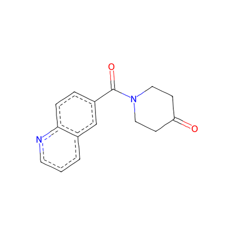 O=C1CCN(C(=O)c2ccc3ncccc3c2)CC1